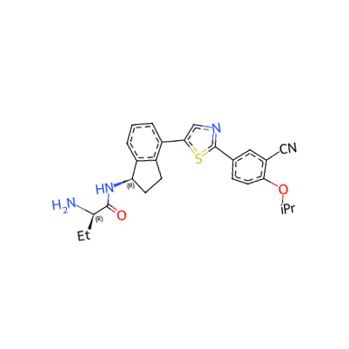 CC[C@@H](N)C(=O)N[C@@H]1CCc2c(-c3cnc(-c4ccc(OC(C)C)c(C#N)c4)s3)cccc21